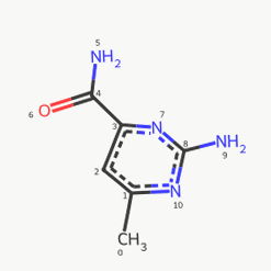 Cc1cc(C(N)=O)nc(N)n1